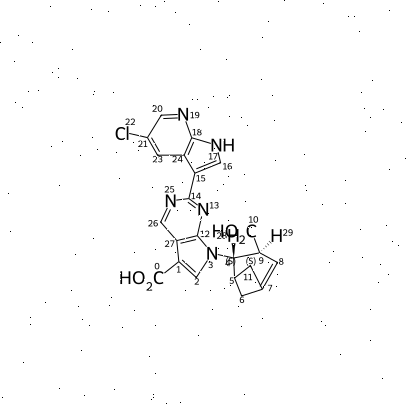 O=C(O)c1cn([C@H]2C3CC(=C[C@@H]2C(=O)O)C3)c2nc(-c3c[nH]c4ncc(Cl)cc34)ncc12